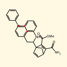 COC(=O)C1=C(C(N)=O)C2C=CC1(C(Cc1ccccc1)Nc1cccc(Oc3ccccc3)c1)O2